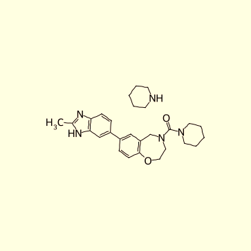 C1CCNCC1.Cc1nc2ccc(-c3ccc4c(c3)CN(C(=O)N3CCCCC3)CCO4)cc2[nH]1